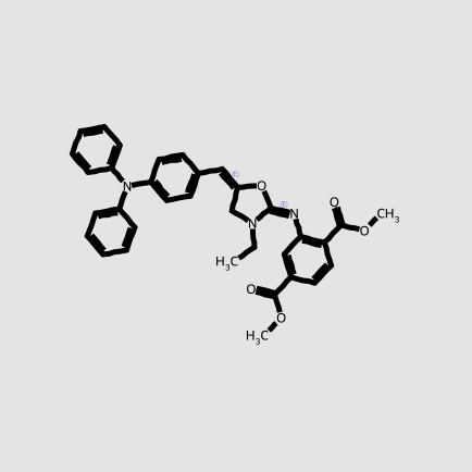 CCN1C/C(=C\c2ccc(N(c3ccccc3)c3ccccc3)cc2)O/C1=N/c1cc(C(=O)OC)ccc1C(=O)OC